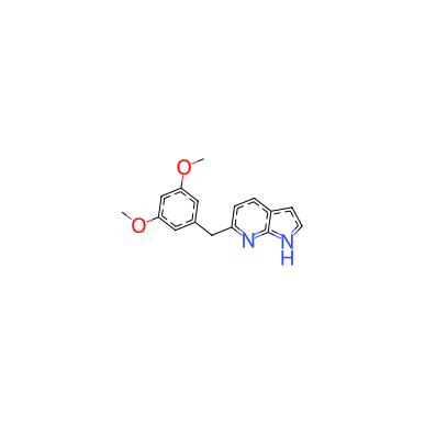 COc1cc(Cc2ccc3cc[nH]c3n2)cc(OC)c1